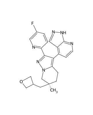 C[C@@]1(CC2COC2)CCc2c(-c3ccnc4[nH]ncc34)c(-c3ccc(F)cn3)nn2C1